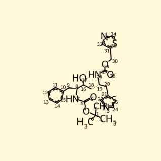 CC(C)(C)OC(=O)N[C@@H](Cc1ccccc1)[C@@H](O)C[C@@H](Cc1cncs1)NC(=O)OCc1cncs1